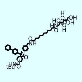 CC(C)(C)NC(=O)N1CCC2(CC1)C(=O)N(c1ccc(CNC(=O)CCCCCCCCCCC(=O)NC[C@@H](O)[C@H](O)[C@@H](O)[C@@H](O)CO)cc1)C2c1ccc(-c2ccccc2)cc1